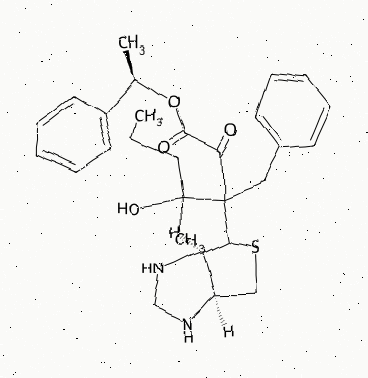 CCCC(C)(O)C(Cc1ccccc1)(C(=O)C(=O)O[C@H](C)c1ccccc1)C1SC[C@H]2NCN[C@@H]12